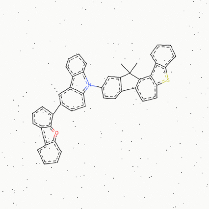 CC1(C)c2cc(-n3c4ccccc4c4cc(-c5cccc6c5oc5ccccc56)ccc43)ccc2-c2ccc3sc4ccccc4c3c21